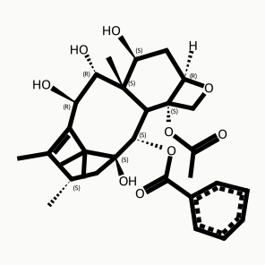 CC(=O)O[C@@]12CO[C@@H]1C[C@H](O)[C@]1(C)C2[C@H](OC(=O)c2ccccc2)[C@]2(O)C[C@H](C)C(C)=C([C@@H](O)[C@@H]1O)C2(C)C